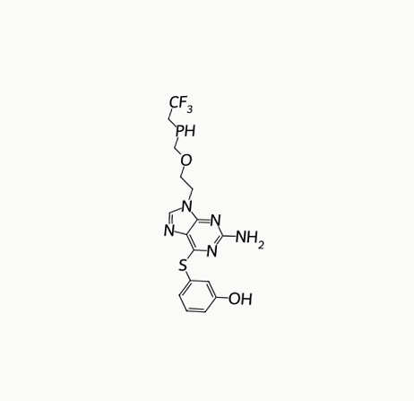 Nc1nc(Sc2cccc(O)c2)c2ncn(CCOCPCC(F)(F)F)c2n1